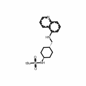 CC(C)(C)S(=O)(=O)N[C@H]1CC[C@H](CNc2cccc3ncccc23)CC1